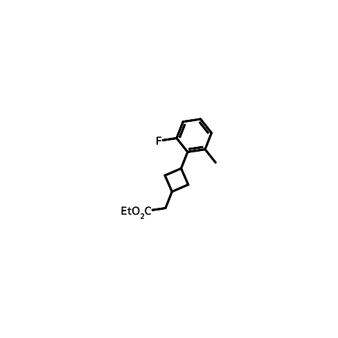 CCOC(=O)CC1CC(c2c(C)cccc2F)C1